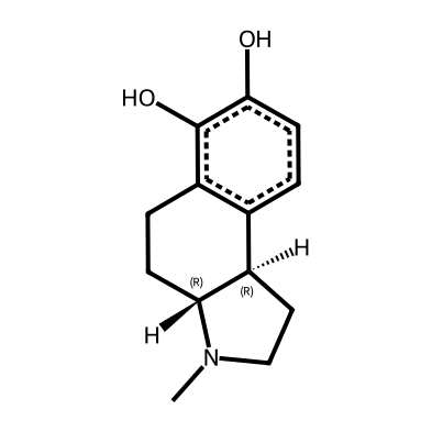 CN1CC[C@@H]2c3ccc(O)c(O)c3CC[C@H]21